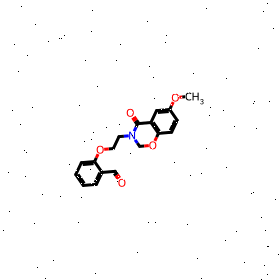 COc1ccc2c(c1)C(=O)N(CCOc1ccccc1C=O)CO2